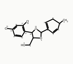 CC1C=CC(C2OC(CO)C(c3ccc(Cl)cc3Cl)O2)=CC1